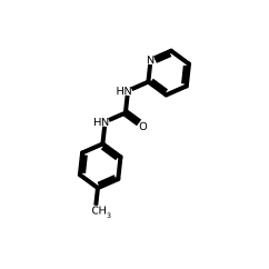 Cc1ccc(NC(=O)Nc2ccccn2)cc1